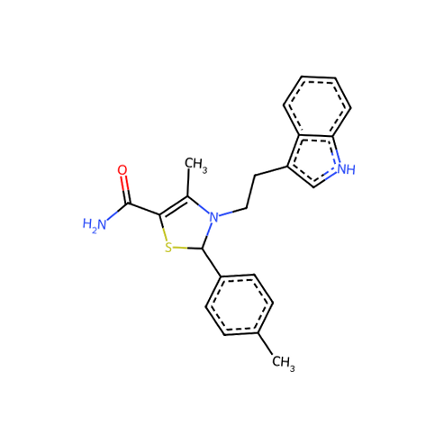 CC1=C(C(N)=O)SC(c2ccc(C)cc2)N1CCc1c[nH]c2ccccc12